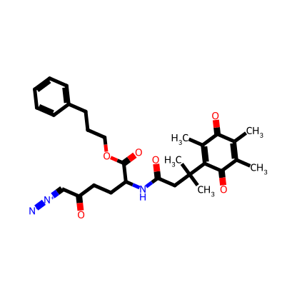 CC1=C(C)C(=O)C(C(C)(C)CC(=O)NC(CCC(=O)C=[N+]=[N-])C(=O)OCCCc2ccccc2)=C(C)C1=O